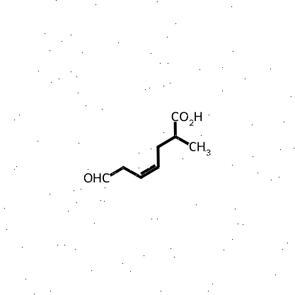 CC(C/C=C\CC=O)C(=O)O